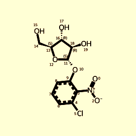 O=[N+]([O-])c1c(Cl)cccc1O[C@@H]1O[C@@H](CO)[C@H](O)[C@H]1O